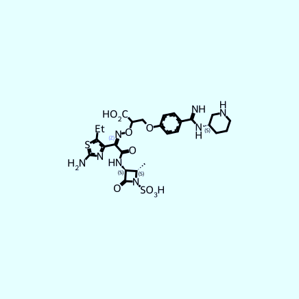 CCc1sc(N)nc1/C(=N/OC(COc1ccc(C(=N)N[C@H]2CCCNC2)cc1)C(=O)O)C(=O)N[C@@H]1C(=O)N(S(=O)(=O)O)[C@H]1C